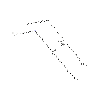 CCCCCCCC/C=C\CCCCCCCCCCC(CCCCCCCCCCCCCC)C(=O)O.CCCCCCCC/C=C\CCCCCCCCCCCC(=O)OCCCCCCCCCCCCCC